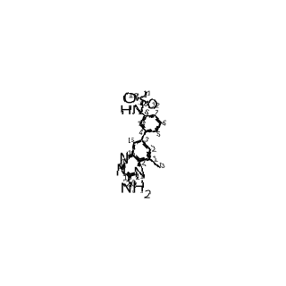 Cc1cc(-c2cccc(NS(C)(=O)=O)c2)cc2nnc(N)nc12